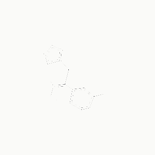 Cc1cccc(/C(Cn2cncn2)=[N+](\C)[O-])c1